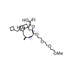 C=C1/C=C\C(OCCOCCOCCOC)=C2/C[C@@]3(CC4CN(CC5CCC5)C(C1)[C@]43O)[C@H]([C@@H](O)CC)O2